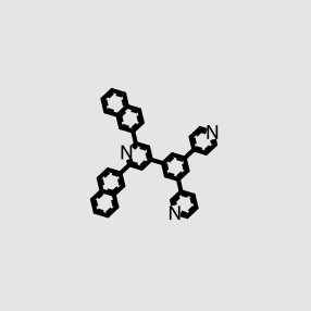 c1cncc(-c2cc(-c3ccncc3)cc(-c3cc(-c4ccc5ccccc5c4)nc(-c4ccc5ccccc5c4)c3)c2)c1